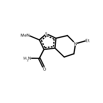 CCN1CCc2c(sc(NC)c2C(N)=O)C1